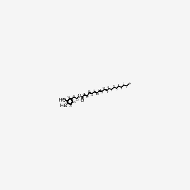 CCCCCCCCCC=CC=CC=CC=CC=CC(=O)OCCc1ccc(O)c(O)c1